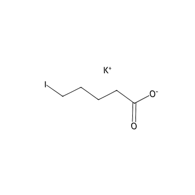 O=C([O-])CCCCI.[K+]